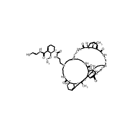 COC1C(C(=O)NCCS)=CCC[C@@H]1C(=O)NCCN1CCNC(=O)[C@@H]2CCC=C3C(=O)NCCN4CCNC(=O)C5=CCC[C@H](C(=O)NCCN(CCNC(=O)[C@@H]6CCC=C(C(=O)NCC4)C6OC)CC1)C5OC(C)OC32